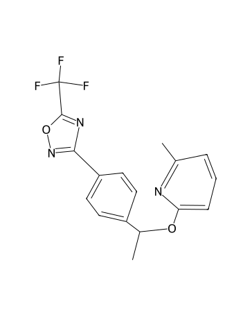 Cc1cccc(OC(C)c2ccc(-c3noc(C(F)(F)F)n3)cc2)n1